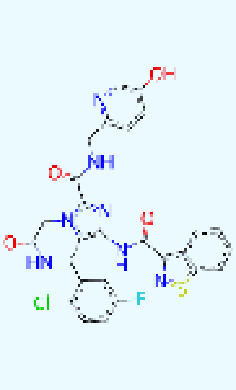 O=C1Cn2c(C(=O)NCc3ccc(O)cn3)nc(NC(=O)c3nsc4ccccc34)c2C(c2cc(F)ccc2Cl)N1